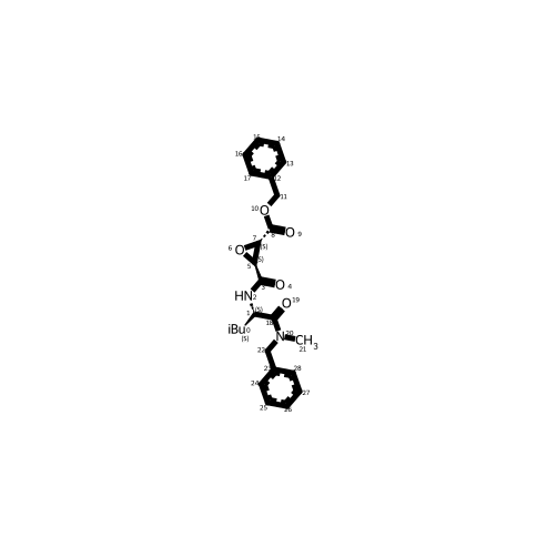 CC[C@H](C)[C@H](NC(=O)[C@H]1O[C@@H]1C(=O)OCc1ccccc1)C(=O)N(C)Cc1ccccc1